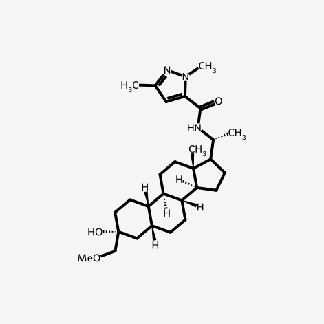 COC[C@@]1(O)CC[C@H]2[C@H](CC[C@@H]3[C@@H]2CC[C@]2(C)C([C@@H](C)NC(=O)c4cc(C)nn4C)CC[C@@H]32)C1